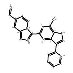 O=Cc1ccn2c(-c3nc(O)c4scc(-c5ccccn5)c4n3)ncc2c1